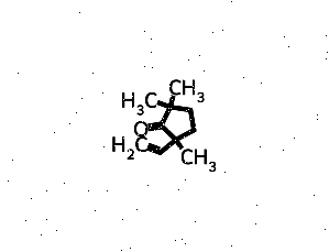 C=CC1(C)CCC(C)(C)C1=O